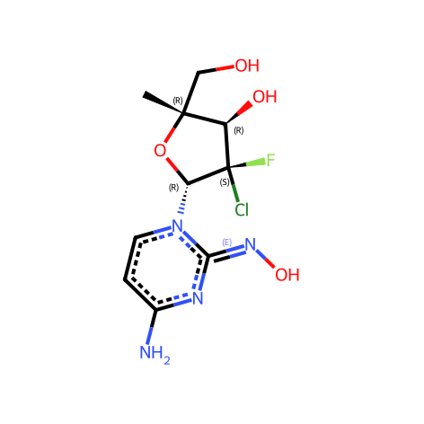 C[C@]1(CO)O[C@@H](n2ccc(N)n/c2=N\O)[C@@](F)(Cl)[C@@H]1O